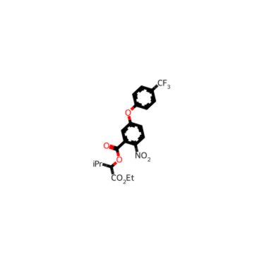 CCOC(=O)C(OC(=O)c1cc(Oc2ccc(C(F)(F)F)cc2)ccc1[N+](=O)[O-])C(C)C